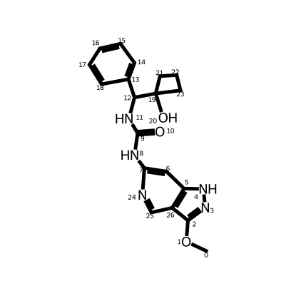 COc1n[nH]c2cc(NC(=O)NC(c3ccccc3)C3(O)CCC3)ncc12